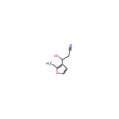 Cc1occc1C(O)CC#N